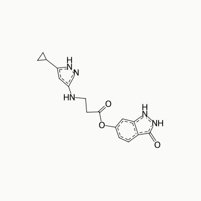 O=C(CCNc1cc(C2CC2)[nH]n1)Oc1ccc2c(=O)[nH][nH]c2c1